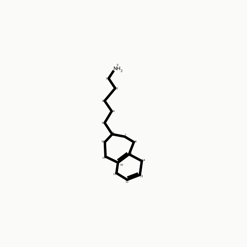 NCCCCCC1CCC2=C(CC=CC2)CC1